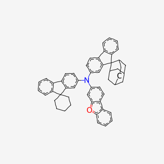 c1ccc2c(c1)-c1ccc(N(c3ccc4c(c3)C3(c5ccccc5-4)C4CCC5CC(C4)CC3C5)c3ccc4c(c3)oc3ccccc34)cc1C21CCCCC1